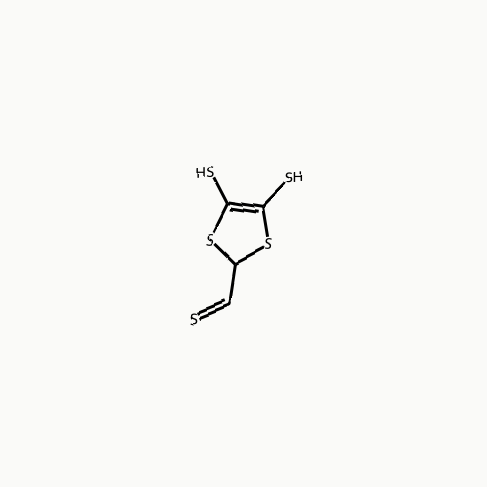 S=CC1SC(S)=C(S)S1